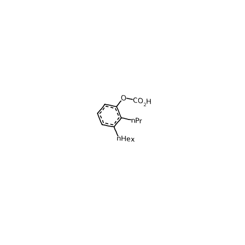 CCCCCCc1cccc(OC(=O)O)c1CCC